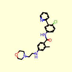 Cc1cc(NCCN2CCOCC2)ccc1C(=O)Nc1ccc(Cl)c(-c2ccccn2)c1